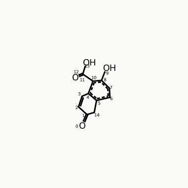 O=C1C=Cc2c(ccc(O)c2C(=O)O)C1